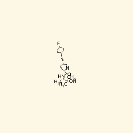 C[C@@H](NC(=O)c1ccc(C#Cc2ccc(F)cc2)cn1)C(C)(C)O